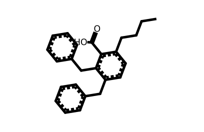 CCCCc1ccc(Cc2ccccc2)c(Cc2ccccc2)c1C(=O)O